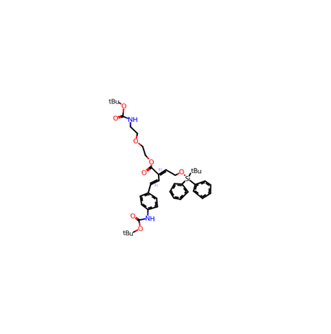 CC(C)(C)OC(=O)NCCOCCOC(=O)C(/C=C/c1ccc(NC(=O)OC(C)(C)C)cc1)=C/CO[Si](c1ccccc1)(c1ccccc1)C(C)(C)C